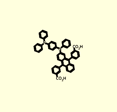 O=C(O)c1cccc(-c2c3ccccc3c(-c3cccc(C(=O)O)c3)c3cc(N(c4ccccc4)c4ccc(N(c5ccccc5)c5ccccc5)cc4)ccc23)c1